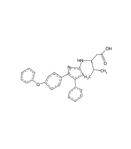 CC(C)C(CC(=O)O)Nc1nc(-c2ccc(Oc3ccccc3)cc2)c(-c2ccccc2)s1